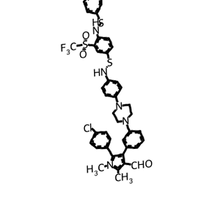 Cc1c(C=O)c(-c2cccc(N3CCN(c4ccc(NSc5ccc(NSc6ccccc6)c(S(=O)(=O)C(F)(F)F)c5)cc4)CC3)c2)c(-c2ccc(Cl)cc2)n1C